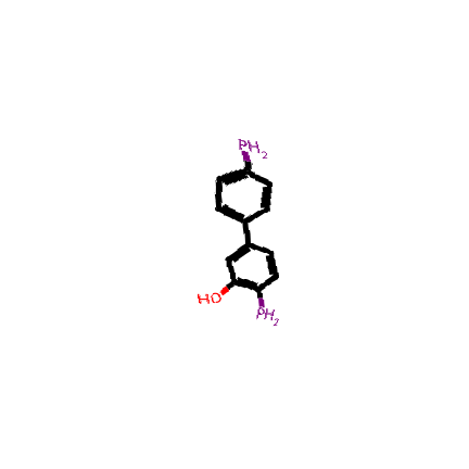 Oc1cc(-c2ccc(P)cc2)ccc1P